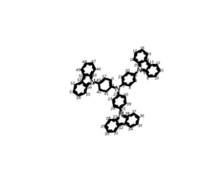 C1=C(N(c2ccc(-n3c4ccccc4c4ccccc43)cc2)c2ccc(-n3c4ccccc4c4ccccc43)cc2)CCC(n2c3ccccc3c3ccccc32)=C1